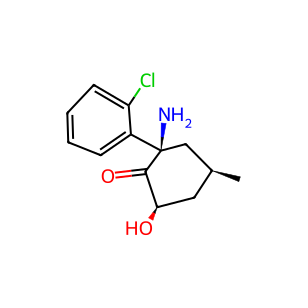 C[C@H]1C[C@@H](O)C(=O)[C@](N)(c2ccccc2Cl)C1